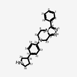 c1ccc(-c2nnc3n2CCN(c2ccc(C4CCNC4)cc2)C3)cc1